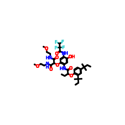 CCC(Oc1ccc(C(C)(C)CC)cc1C(C)(C)CC)C(=O)Nc1cc(O)c(NC(=O)C(F)(F)C(F)F)cc1OC(C(=O)NCCOC)C(=O)NCCOC